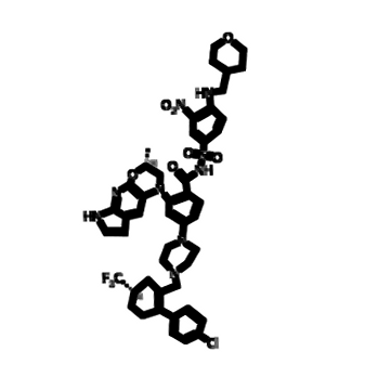 C[C@@H]1CN(c2cc(N3CCN(CC4=C(c5ccc(Cl)cc5)CC[C@H](C(F)(F)F)C4)CC3)ccc2C(=O)NS(=O)(=O)c2ccc(NCC3CCOCC3)c([N+](=O)[O-])c2)c2cc3cc[nH]c3nc2O1